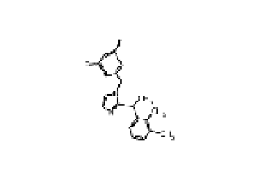 Cc1cccc([C@H](C)c2nccn2Cc2cc(F)cc(F)c2)c1C